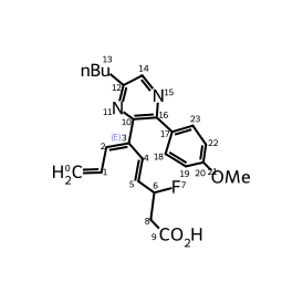 C=C/C=C(\C=CC(F)CC(=O)O)c1nc(CCCC)cnc1-c1ccc(OC)cc1